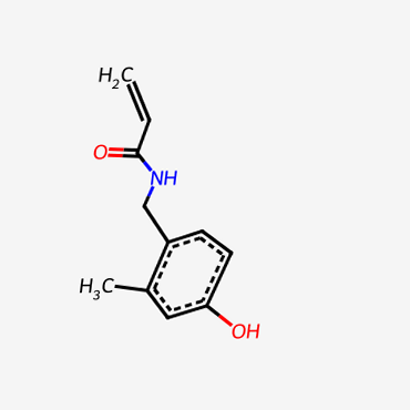 C=CC(=O)NCc1ccc(O)cc1C